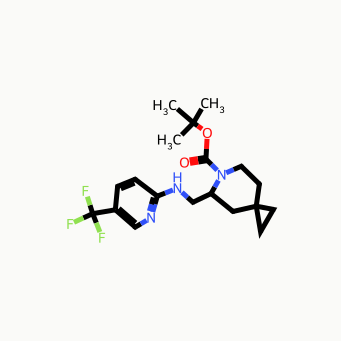 CC(C)(C)OC(=O)N1CCC2(CC2)CC1CNc1ccc(C(F)(F)F)cn1